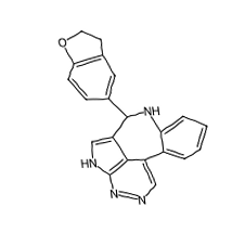 c1ccc2c(c1)NC(c1ccc3c(c1)CCO3)c1c[nH]c3nncc-2c13